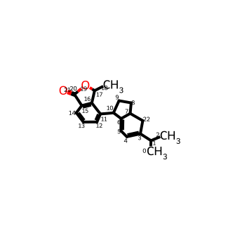 CC(C)C1=CC=C2C(CCC2c2cccc3c2C(C)OC3=O)C1